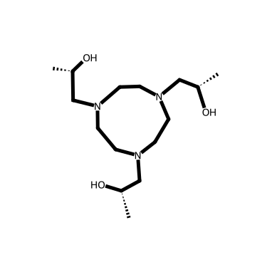 C[C@H](O)CN1CCN(C[C@H](C)O)CCN(C[C@H](C)O)CC1